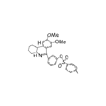 COc1cc2c(cc1OC)[C@@H]1CCCC[C@@H]1N=C2c1cccc(OS(=O)(=O)c2ccc(C)cc2)c1